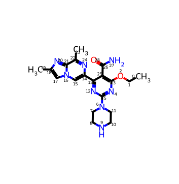 CCOc1nc(N2CCNCC2)nc(-c2cn3cc(C)nc3c(C)n2)c1C(N)=O